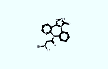 CCN(CC)CC(=O)N1c2ccccc2-n2c(n[nH]c2=O)-c2cccnc21